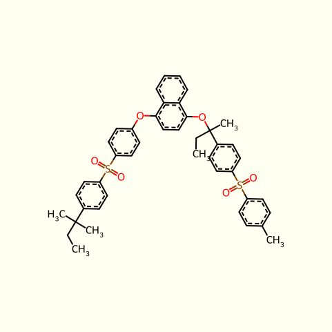 CCC(C)(C)c1ccc(S(=O)(=O)c2ccc(Oc3ccc(OC(C)(CC)c4ccc(S(=O)(=O)c5ccc(C)cc5)cc4)c4ccccc34)cc2)cc1